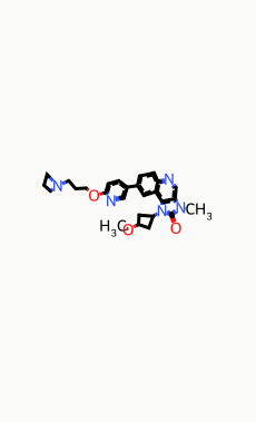 COC1CC(n2c(=O)n(C)c3cnc4ccc(-c5ccc(OCCCN6CCC6)nc5)cc4c32)C1